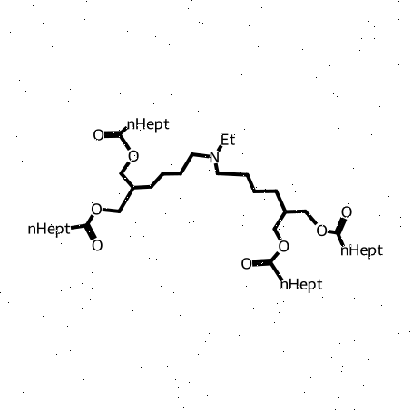 CCCCCCCC(=O)OCC(CCCCN(CC)CCCCC(COC(=O)CCCCCCC)COC(=O)CCCCCCC)COC(=O)CCCCCCC